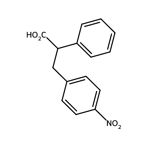 O=C(O)C(Cc1ccc([N+](=O)[O-])cc1)c1ccccc1